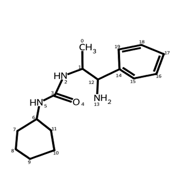 CC(NC(=O)NC1CCCCC1)C(N)c1ccccc1